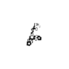 C=CC(=O)OCCOCC1OC2(CCCC2)OC1C1COC2(CCCC2)O1